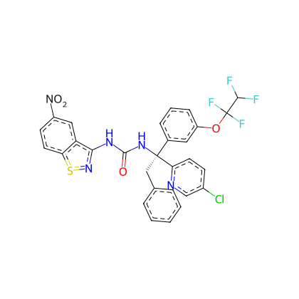 O=C(Nc1nsc2ccc([N+](=O)[O-])cc12)N[C@@](Cc1ccccc1)(c1cccc(OC(F)(F)C(F)F)c1)c1ccc(Cl)cn1